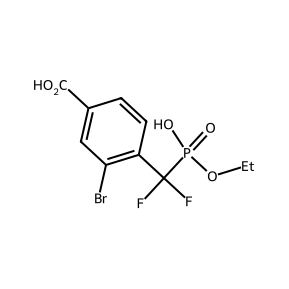 CCOP(=O)(O)C(F)(F)c1ccc(C(=O)O)cc1Br